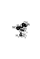 Cc1cc(C)c2[nH]ccc2c1C(NC(=O)C(F)(F)F)c1nc2cc(C#N)ccc2n1COCC[Si](C)(C)C